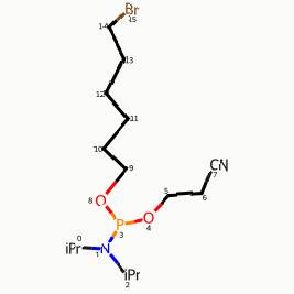 CC(C)N(C(C)C)P(OCCC#N)OCCCCCCBr